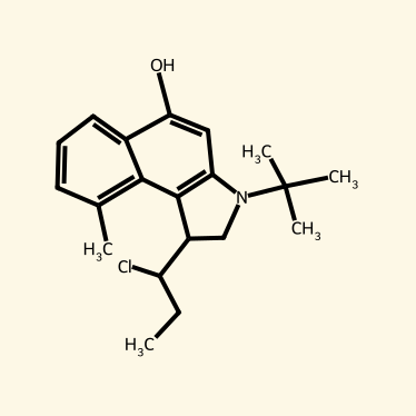 CCC(Cl)C1CN(C(C)(C)C)c2cc(O)c3cccc(C)c3c21